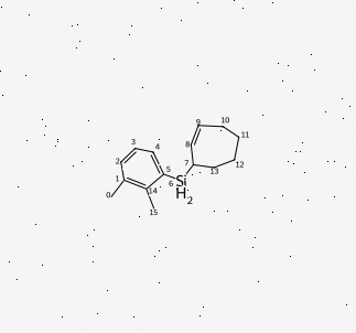 Cc1cccc([SiH2]C2C=CCCCC2)c1C